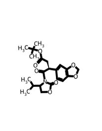 CC(C)C1COC(=O)N1C(=O)[C@@H](CC(=O)OC(C)(C)C)c1ccc2c(c1)OCO2